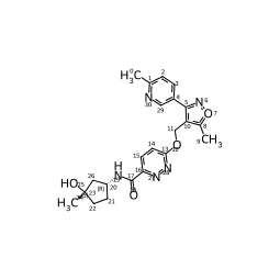 Cc1ccc(-c2noc(C)c2COc2ccc(C(=O)N[C@@H]3CC[C@](C)(O)C3)nn2)cn1